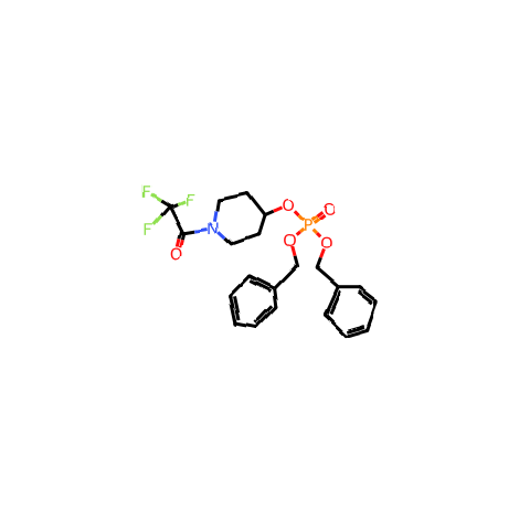 O=C(N1CCC(OP(=O)(OCc2ccccc2)OCc2ccccc2)CC1)C(F)(F)F